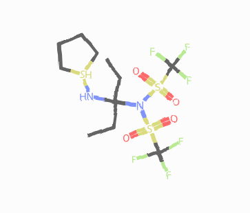 CCC(CC)(N[SH]1CCCC1)N(S(=O)(=O)C(F)(F)F)S(=O)(=O)C(F)(F)F